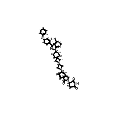 Nc1ncnc2c1c(-c1ccc(Oc3ccccc3)cc1)nn2C1CCC2(CC1)CN(C1CN(c3cc4c(cc3F)C(=O)N(C3CCC(=O)NC3=O)C4)C1)C2